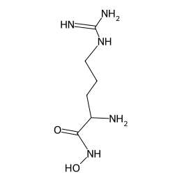 N=C(N)NCCCC(N)C(=O)NO